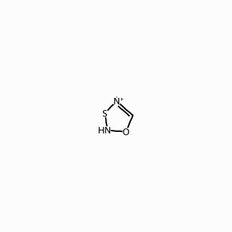 C1=[N+]SNO1